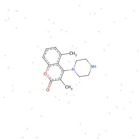 Cc1c(N2CCNCC2)c2c(C)cccc2oc1=O